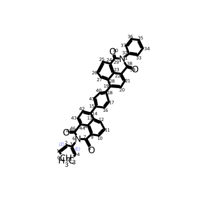 C/C=C\C(=C/C)N1C(=O)c2cccc3c(-c4ccc(-c5ccc6c7c(cccc57)C(=O)N(c5ccccc5)C6=O)cc4)ccc(c23)C1=O